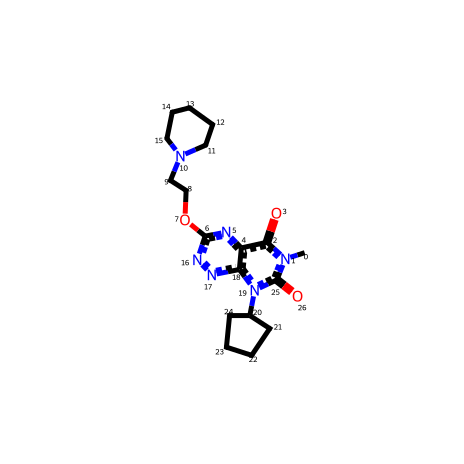 Cn1c(=O)c2nc(OCCN3CCCCC3)nnc2n(C2CCCC2)c1=O